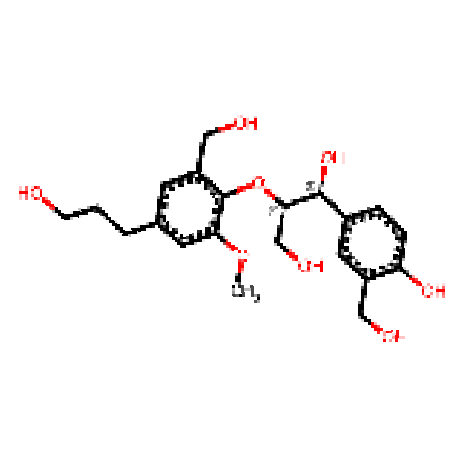 COc1cc(CCCO)cc(CO)c1O[C@H](CO)[C@@H](O)c1ccc(O)c(CO)c1